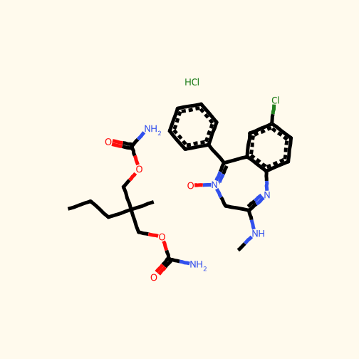 CCCC(C)(COC(N)=O)COC(N)=O.CNC1=Nc2ccc(Cl)cc2C(c2ccccc2)=[N+]([O-])C1.Cl